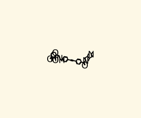 CN1CC2CN(C(=O)c3ccc(C#Cc4ccc(NCc5occc(=O)c5O)cc4)cc3)CC2C1